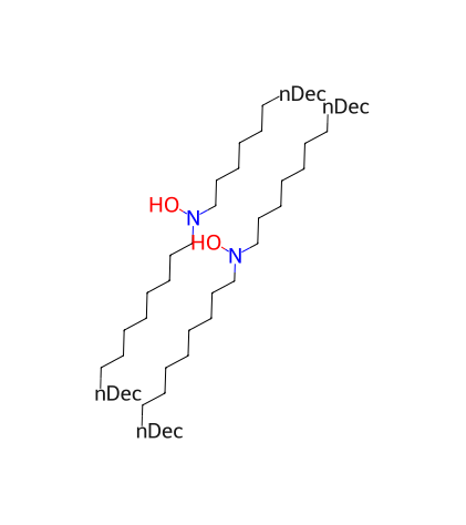 CCCCCCCCCCCCCCCCCCN(O)CCCCCCCCCCCCCCCC.CCCCCCCCCCCCCCCCCCN(O)CCCCCCCCCCCCCCCCC